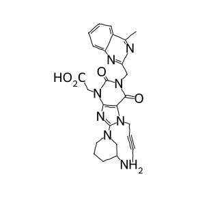 CC#CCn1c(N2CCCC(N)C2)nc2c1c(=O)n(Cc1nc(C)c3ccccc3n1)c(=O)n2CC(=O)O